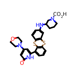 O=C(O)N1CCCC(Nc2ccc3c(c2)Sc2cccc(-c4cc(N5CCOCC5)cc(=O)[nH]4)c2S3)C1